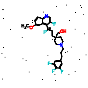 COc1ccc2ncc(F)c([C@H](F)CCC3(CO)CCN(CCCc4cc(F)c(F)c(F)c4)CC3)c2c1